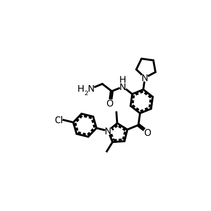 Cc1cc(C(=O)c2ccc(N3CCCC3)c(NC(=O)CN)c2)c(C)n1-c1ccc(Cl)cc1